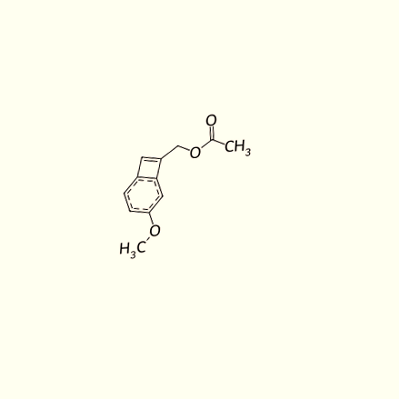 COc1ccc2c(c1)C(COC(C)=O)=C2